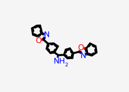 NC(c1ccc(-c2nc3ccccc3o2)cc1)c1ccc(-c2nc3ccccc3o2)cc1